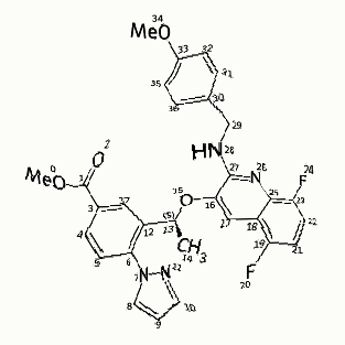 COC(=O)c1ccc(-n2cccn2)c([C@H](C)Oc2cc3c(F)ccc(F)c3nc2NCc2ccc(OC)cc2)c1